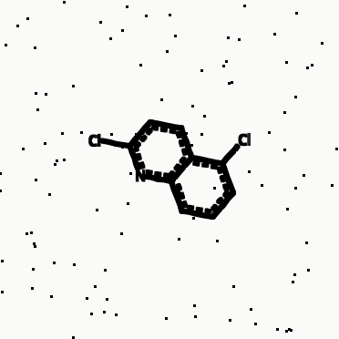 Clc1ccc2c(Cl)cccc2n1